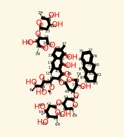 CO[C@H](C(=O)[C@@H](O)[C@@H](C)O)[C@@H]1Cc2cc3cc(O[C@H]4C[C@@H](O[C@H]5C[C@@H](O)[C@H](O)[C@@H](C)O5)[C@H](O)[C@@H](C)O4)c(C)c(O)c3c(O)c2C(=O)[C@H]1O[C@H]1C[C@@H](O[C@H]2C[C@@H](O[C@H]3C[C@](C)(O)[C@H](O)[C@@H](C)O3)[C@@H](O)[C@@H](C)O2)[C@H](O)[C@@H](C)O1.c1ccc2cc3ccccc3cc2c1